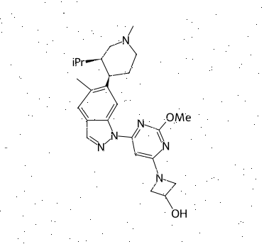 COc1nc(N2CC(O)C2)cc(-n2ncc3cc(C)c([C@@H]4CCN(C)C[C@@H]4C(C)C)cc32)n1